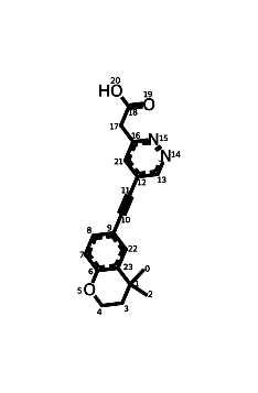 CC1(C)CCOc2ccc(C#Cc3cnnc(CC(=O)O)c3)cc21